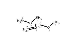 C=O.[SiH3]O[SiH3].[SiH3]O[SiH3]